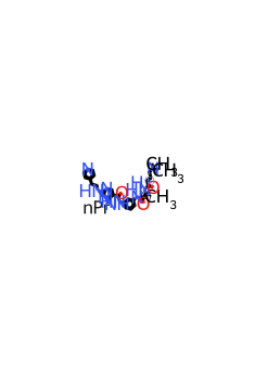 CCCNc1nc(NCCc2ccncc2)ncc1C(=O)Nc1cccc(NC(=O)[C@H](C)NC(=O)/C=C/CN(C)C)c1